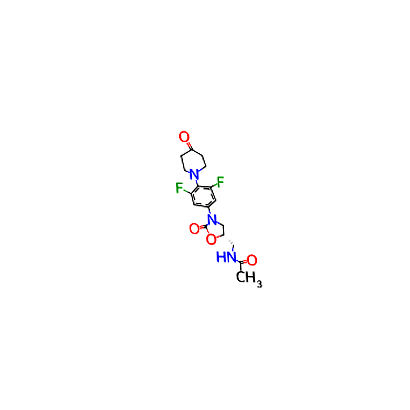 CC(=O)NC[C@H]1CN(c2cc(F)c(N3CCC(=O)CC3)c(F)c2)C(=O)O1